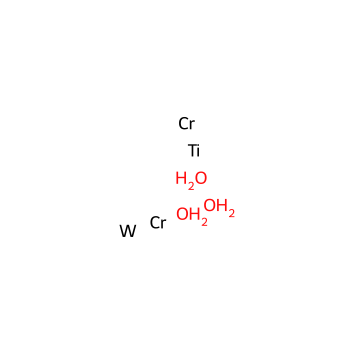 O.O.O.[Cr].[Cr].[Ti].[W]